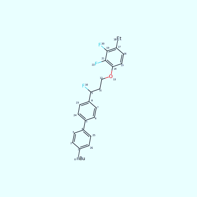 CCCCc1ccc(-c2ccc(C(F)CCOc3ccc(CC)c(F)c3F)cc2)cc1